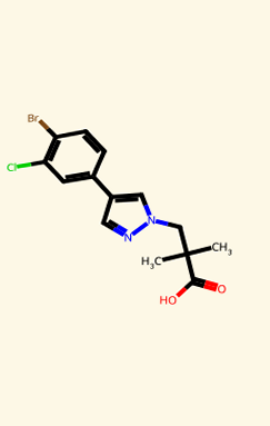 CC(C)(Cn1cc(-c2ccc(Br)c(Cl)c2)cn1)C(=O)O